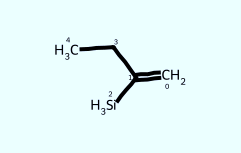 C=C([SiH3])CC